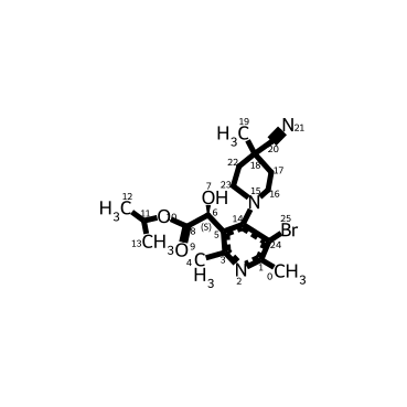 Cc1nc(C)c([C@H](O)C(=O)OC(C)C)c(N2CCC(C)(C#N)CC2)c1Br